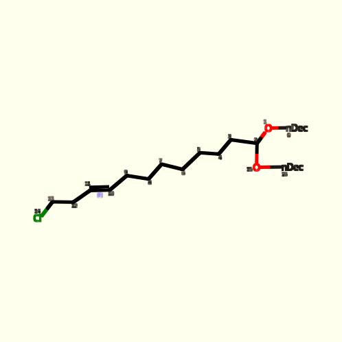 CCCCCCCCCCOC(CCCCCCC/C=C/CCCl)OCCCCCCCCCC